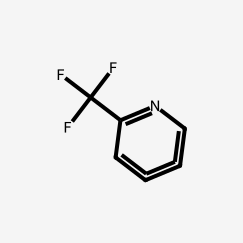 FC(F)(F)C1=NC=C=C=C1